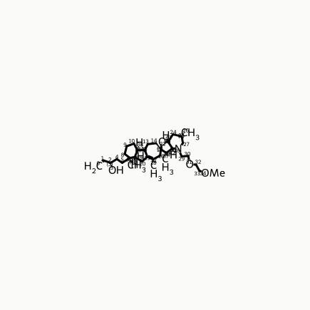 C=C[C@@H](O)CC[C@@]1(C)CCC[C@H]2[C@@H]3CC[C@@]4(CC(C)=C3C[C@@H]21)O[C@@H]1C[C@H](C)CN(CCOCCOC)[C@H]1[C@H]4C